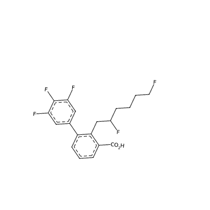 O=C(O)c1cccc(-c2cc(F)c(F)c(F)c2)c1CC(F)CCCCF